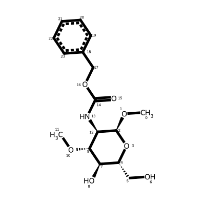 CO[C@H]1O[C@H](CO)[C@@H](O)[C@H](OC)[C@H]1NC(=O)OCc1ccccc1